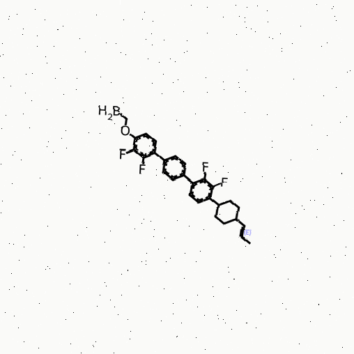 BCOc1ccc(-c2ccc(-c3ccc(C4CCC(/C=C/C)CC4)c(F)c3F)cc2)c(F)c1F